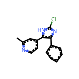 Cc1cc(-c2[nH]c(Cl)nc2-c2ccccc2)ccn1